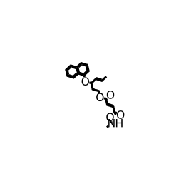 C/C=C/C(CCOC(=O)/C=C/C(=O)ONC)Oc1cccc2ccccc12